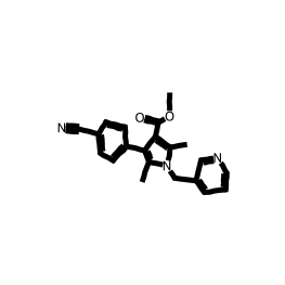 COC(=O)c1c(-c2ccc(C#N)cc2)c(C)n(Cc2cccnc2)c1C